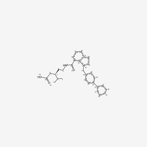 CC(C)[C@H](CCNC(=O)c1cccc2ccn(Cc3ccc(-c4ccccc4)cc3)c12)CC(=O)O